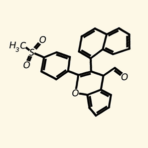 CS(=O)(=O)c1ccc(C2=C(c3cccc4ccccc34)C(C=O)c3ccccc3O2)cc1